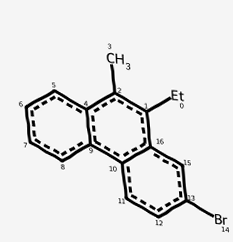 CCc1c(C)c2ccccc2c2ccc(Br)cc12